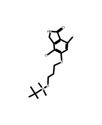 CC(C)(C)[Si](C)(C)OCCCOc1cc(I)c2c(c1Cl)CNC2=O